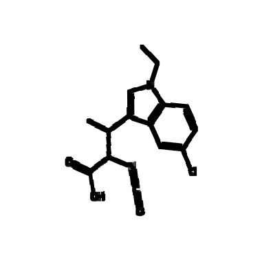 CCn1cc(C(C)C(N=C=O)C(=O)O)c2cc(Cl)ccc21